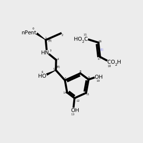 CCCCC[C@@H](C)NC[C@H](O)c1cc(O)cc(O)c1.O=C(O)/C=C/C(=O)O